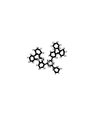 c1ccc(-c2nc(-c3ccc4c5ccccc5c5ccccc5c4c3)nc(-c3cccc4c3nc3c5ccccc5c5ccccc5n43)n2)cc1